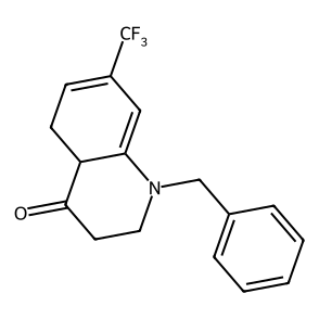 O=C1CCN(Cc2ccccc2)C2=CC(C(F)(F)F)=CCC12